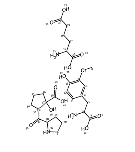 COc1cc(CC(N)C(=O)O)ccc1O.NC(CCCC(=O)O)C(=O)O.O=C(C1CCCN1)N1CCCC1(O)C(=O)O